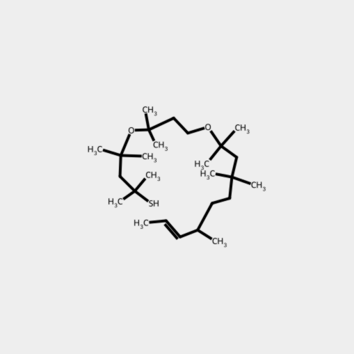 CC=CC(C)CCC(C)(C)CC(C)(C)OCCC(C)(C)OC(C)(C)CC(C)(C)S